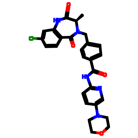 C[C@@H]1C(=O)Nc2cc(Cl)ccc2C(=O)N1Cc1ccc(C(=O)Nc2ccc(N3CCOCC3)cn2)cc1